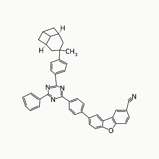 CC1(c2ccc(-c3nc(-c4ccccc4)nc(-c4ccc(-c5ccc6oc7ccc(C#N)cc7c6c5)cc4)n3)cc2)C[C@H]2CC3C[C@@H](C1)C32